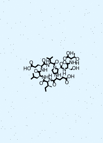 CC[C@H](C)[C@H](NC(=O)[C@@H](N)CCC(=O)O)C(=O)N[C@@H](CC(C)C)C(=O)N[C@@H](CCC(=O)O)C(=O)N[C@H](C(=O)N1CCC[C@H]1C(=O)N[C@@H](CO)C(=O)N[C@H](C(=O)O)[C@@H](C)O)C(C)C